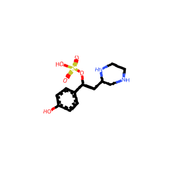 O=S(=O)(O)OC(CC1CNCCN1)c1ccc(O)cc1